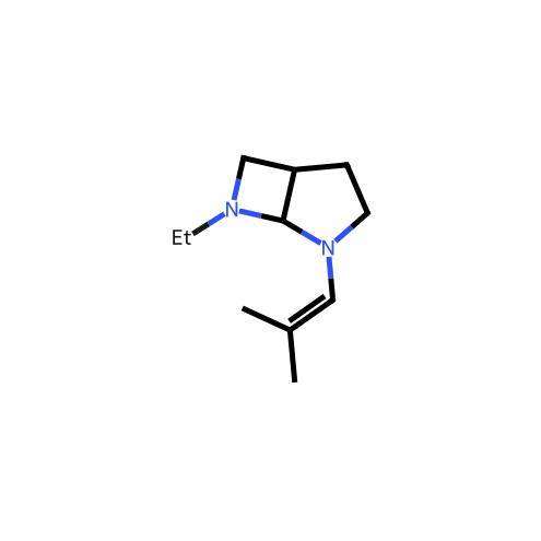 CCN1CC2CCN(C=C(C)C)C21